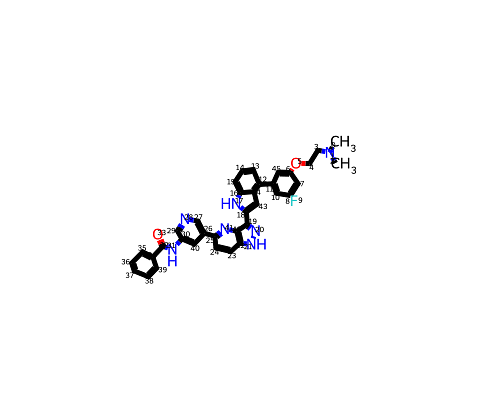 CN(C)CCOc1cc(F)cc(-c2cccc3[nH]c(-c4n[nH]c5ccc(-c6cncc(NC(=O)c7ccccc7)c6)nc45)cc23)c1